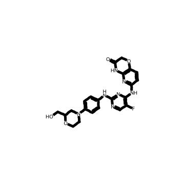 O=C1COc2ccc(Nc3nc(Nc4ccc(N5CCOC(CO)C5)cc4)ncc3F)nc2N1